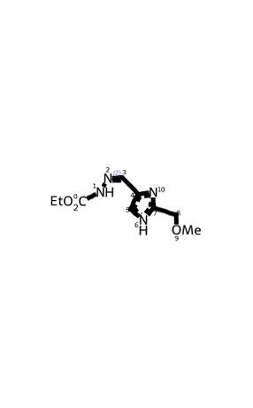 CCOC(=O)N/N=C\c1c[nH]c(COC)n1